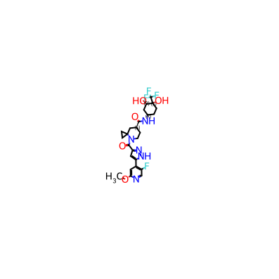 COc1cc(-c2cc(C(=O)N3CC[C@H](C(=O)N[C@@H]4CC[C@@](O)(C(F)(F)F)[C@H](O)C4)CC34CC4)n[nH]2)c(F)cn1